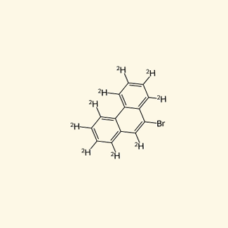 [2H]c1c([2H])c([2H])c2c(c1[2H])c([2H])c(Br)c1c([2H])c([2H])c([2H])c([2H])c12